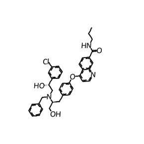 CCCNC(=O)c1ccc2c(Oc3ccc(C[C@@H](CO)N(Cc4ccccc4)C[C@H](O)c4cccc(Cl)c4)cc3)ccnc2c1